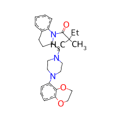 CCC(C)(C)C(=O)N1c2ccccc2CCC1CN1CCN(c2cccc3c2OCCO3)CC1